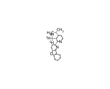 [2H]C([2H])([2H])c1c(C(C)C)ccnc1-c1ccc2oc3ccccc3c2n1